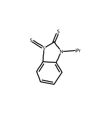 CC(C)N1C(=S)S(=S)c2ccccc21